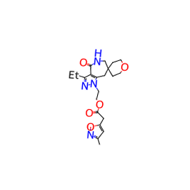 CCc1nn(CCOC(=O)Cc2cc(C)no2)c2c1C(=O)NCC1(CCOCC1)C2